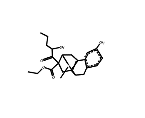 CCCC(S)C(=O)C1(C(=O)OCC)C[C@@]23CCCC[C@]24CC1N(C)C3Cc1ccc(O)cc14